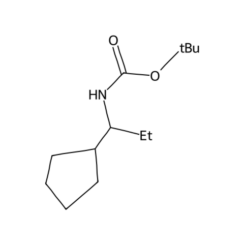 CCC(NC(=O)OC(C)(C)C)C1CCCC1